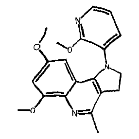 COc1cc(OC)c2nc(C)c3c(c2c1)N(c1cccnc1OC)CC3